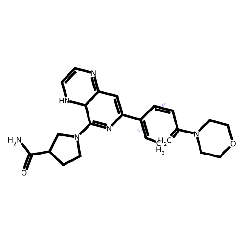 C=C(/C=C\C(=C/C)C1=CC2=NC=CNC2C(N2CCC(C(N)=O)C2)=N1)N1CCOCC1